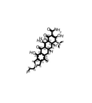 CN(C)[C@@H]1C(O)=C(C(N)=O)C(=O)[C@@]2(P)C(O)=C3C(=O)c4c(O)c5c(c(F)c4C[C@H]3C[C@@H]12)CN(CCF)C5